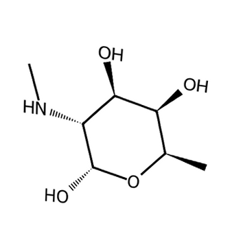 CN[C@@H]1[C@@H](O)[C@@H](O)[C@@H](C)O[C@@H]1O